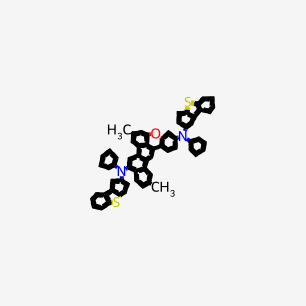 Cc1ccc2c(N(c3ccccc3)c3ccc4sc5ccccc5c4c3)cc3c4cc(C)cc5c4c(cc3c2c1)-c1ccc(N(c2ccccc2)c2ccc3sc4ccccc4c3c2)cc1O5